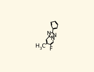 Cc1cc2nc(-c3ccccc3)nn2cc1F